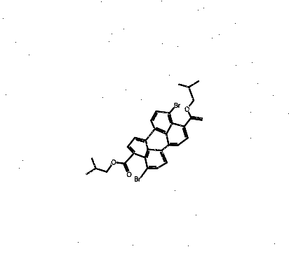 C=C(OCC(C)C)c1ccc2c3ccc(Br)c4c(C(=O)OCC(C)C)ccc(c5ccc(Br)c1c25)c43